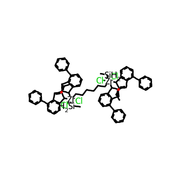 CCC1=Cc2c(-c3ccccc3)cccc2[CH]1[Zr]([Cl])([Cl])([CH2]CCCC[CH2][Zr]([Cl])([Cl])([SiH2]C)([CH]1C(C)=Cc2c(-c3ccccc3)cccc21)[CH]1C(CC)=Cc2c(-c3ccccc3)cccc21)([SiH2]C)[CH]1C(C)=Cc2c(-c3ccccc3)cccc21